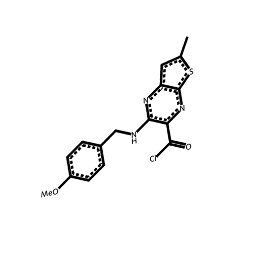 COc1ccc(CNc2nc3cc(C)sc3nc2C(=O)Cl)cc1